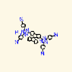 N#Cc1ccc(C/N=C(\N=C(/N)c2ccc(C#N)cc2)c2ccc3c(c2)C2(c4ccccc4-c4ccccc42)c2cc(-c4nc(-c5ccc(C#N)cc5)nc(-c5ccc(C#N)cc5)n4)ccc2-3)cc1